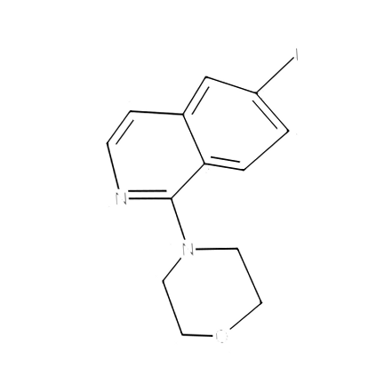 Ic1ccc2c(N3CCOCC3)nccc2c1